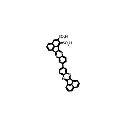 O=S(=O)(O)c1cc2cccc3c2c(c1S(=O)(=O)O)-c1nc2ccc(-c4ccc5nc6c(nc5c4)-c4cccc5cccc-6c45)cc2nc1-3